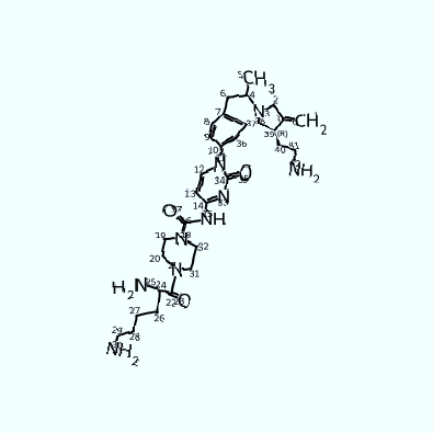 C=C1CN(C(C)Cc2ccc(-n3ccc(NC(=O)N4CCN(C(=O)C(N)CCCCN)CC4)nc3=O)cc2)C[C@@H]1CCN